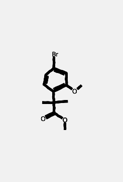 COC(=O)C(C)(C)c1ccc(Br)cc1OC